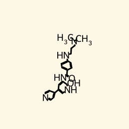 CN(C)CCCNc1ccc(C(=O)NC2=CC(c3ccncc3)=CNC2O)cc1